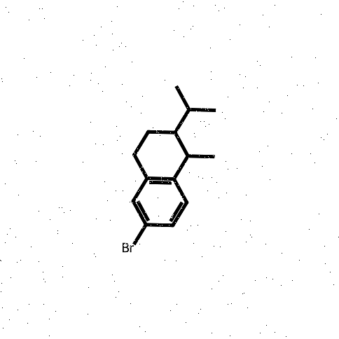 CC(C)C1CCc2cc(Br)ccc2C1C